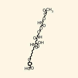 CC(=O)COCCOCCNC(=O)COCCOCCNC(=O)CC[C@H](NC(=O)CCCCCCCCOc1ccc(C(=O)O)cc1)C(=O)O